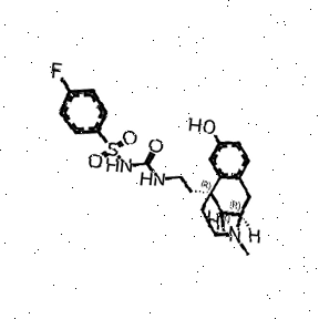 C[C@H]1[C@H]2Cc3ccc(O)cc3[C@]1(CCNC(=O)NS(=O)(=O)c1ccc(F)cc1)CCN2C